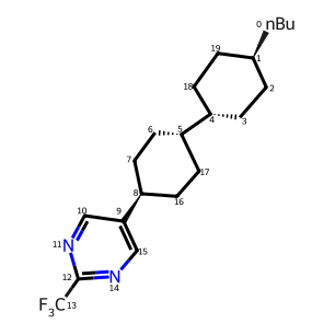 CCCC[C@H]1CC[C@H]([C@H]2CC[C@H](c3cnc(C(F)(F)F)nc3)CC2)CC1